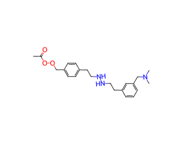 CC(=O)OOCc1ccc(CCNNCCc2cccc(CN(C)C)c2)cc1